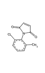 Cc1cccc(Cl)c1N1C(=O)C=CC1=O